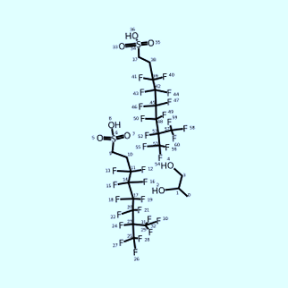 CC(O)CO.O=S(=O)(O)CCC(F)(F)C(F)(F)C(F)(F)C(F)(F)C(F)(C(F)(F)F)C(F)(F)F.O=S(=O)(O)CCC(F)(F)C(F)(F)C(F)(F)C(F)(F)C(F)(C(F)(F)F)C(F)(F)F